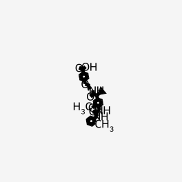 COc1cc(C(C(=O)NCCOc2ccc(C(=O)O)cc2)C2CC2)ccc1NC(=O)Nc1ccccc1C